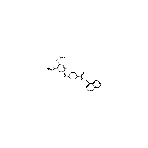 COCc1cc(F)c(OC2CCC(C(=O)OCc3cccc4ccccc34)CC2)cc1C(=O)O